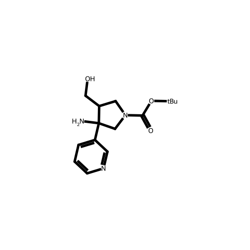 CC(C)(C)OC(=O)N1CC(CO)C(N)(c2cccnc2)C1